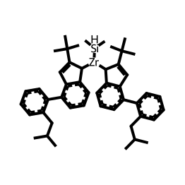 CC(C)Cc1ccccc1-c1cccc2c1C=C(C(C)(C)C)[CH]2[Zr]([CH]1C(C(C)(C)C)=Cc2c(-c3ccccc3CC(C)C)cccc21)[SiH](C)C